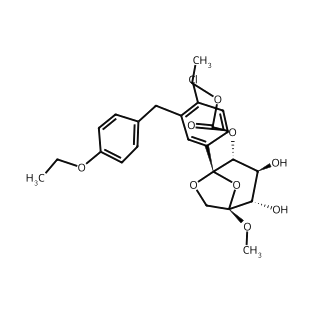 CCOC(=O)O[C@@H]1[C@@H](O)[C@H](O)[C@]2(OC)CO[C@@]1(c1ccc(Cl)c(Cc3ccc(OCC)cc3)c1)O2